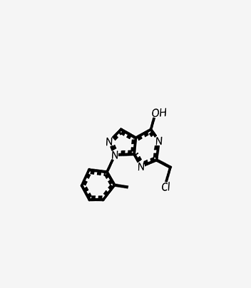 Cc1ccccc1-n1ncc2c(O)nc(CCl)nc21